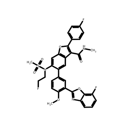 CNC(=O)c1c(-c2ccc(F)cc2)oc2cc(N(CCF)S(C)(=O)=O)c(-c3ccc(OC)c(-c4nc5cccc(F)c5o4)c3)cc12